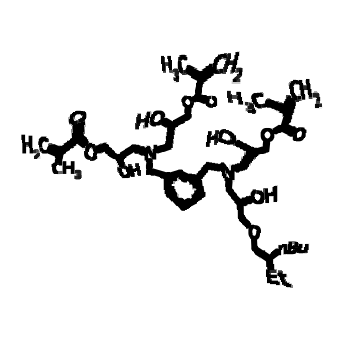 C=C(C)C(=O)OCC(O)CN(Cc1cccc(CN(CC(O)COC(=O)C(=C)C)CC(O)COC(=O)C(=C)C)c1)CC(O)COCC(CC)CCCC